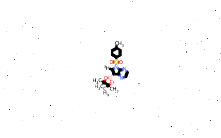 [2H]c1c(B2OC(C)(C)C(C)(C)O2)c2nccnc2n1S(=O)(=O)c1ccc(C)cc1